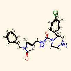 O=C1CC(CNC(=O)N2CCNCC2c2ccc(Cl)cc2)CN1Cc1ccccc1